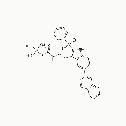 CC(C)(C)OC(=O)NCCc1c(S(=O)(=O)c2ccccc2)[nH]c2ccc(-c3ccc4ccccc4c3)cc12